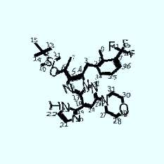 Cc1c(Cc2c(C(C)O[Si](C)(C)C(C)(C)C)nc3c(-c4ncc[nH]4)cc(N4CCOCC4)nn23)cccc1C(F)(F)F